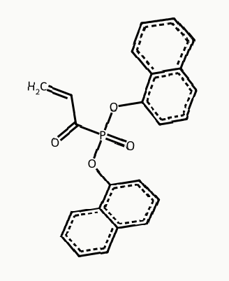 C=CC(=O)P(=O)(Oc1cccc2ccccc12)Oc1cccc2ccccc12